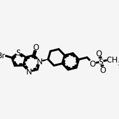 CS(=O)(=O)OCc1ccc2c(c1)CC[C@H](n1cnc3cc(Br)sc3c1=O)C2